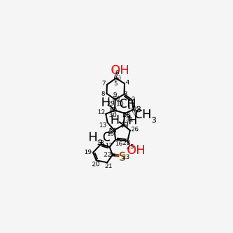 C[C@H]1C=C2C[C@@H](O)CC[C@]2(C)[C@H]2CC[C@]3(C)C(C4=CC=CCC4=S)=C(O)C[C@H]3[C@H]12